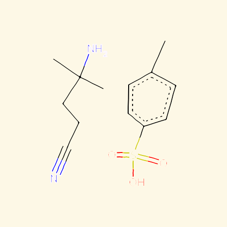 CC(C)(N)CCC#N.Cc1ccc(S(=O)(=O)O)cc1